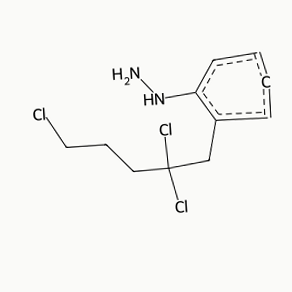 NNc1ccccc1CC(Cl)(Cl)CCCCl